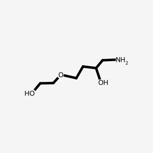 NCC(O)CCOCCO